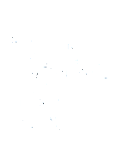 C=CC(=O)N1CCN(c2nc(OCC3(CN(C)C)CC3)nc3c2CC(C)N(c2c(F)cccc2OC(F)(F)F)C3)C[C@@H]1CC#N